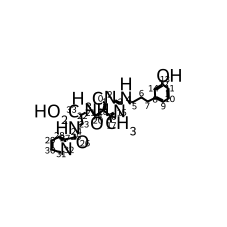 Cc1nc(NCCCc2cccc(O)c2)nc(C)c1C(=O)N[C@@H](CNC(=O)c1ccccn1)C(=O)O